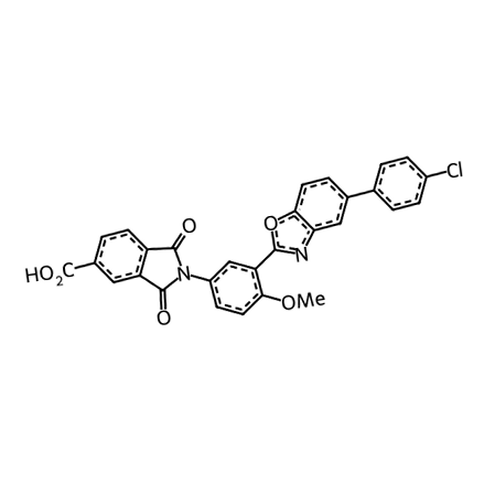 COc1ccc(N2C(=O)c3ccc(C(=O)O)cc3C2=O)cc1-c1nc2cc(-c3ccc(Cl)cc3)ccc2o1